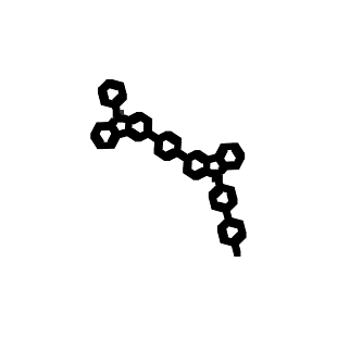 Cc1ccc(-c2ccc(-n3c4ccccc4c4cc(-c5ccc(-c6ccc7c(c6)c6ccccc6n7-c6ccccc6)cc5)ccc43)cc2)cc1